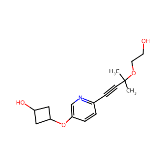 CC(C)(C#Cc1ccc(OC2CC(O)C2)cn1)OCCO